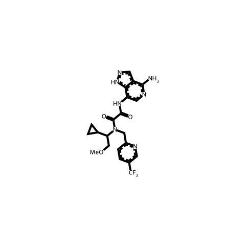 COCC(C1CC1)N(Cc1ccc(C(F)(F)F)cn1)C(=O)C(=O)Nc1cnc(N)c2cn[nH]c12